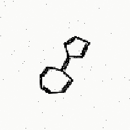 C1=CC=CC(=C2C=CC=C2)C=C1